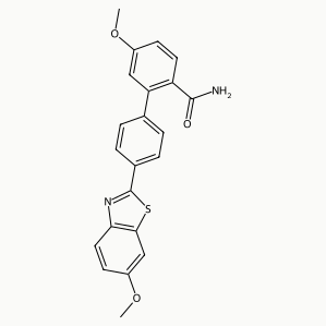 COc1ccc(C(N)=O)c(-c2ccc(-c3nc4ccc(OC)cc4s3)cc2)c1